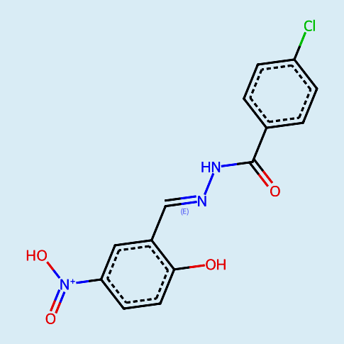 O=C(N/N=C/c1cc([N+](=O)O)ccc1O)c1ccc(Cl)cc1